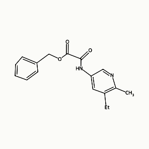 CCc1cc(NC(=O)C(=O)OCc2ccccc2)cnc1C